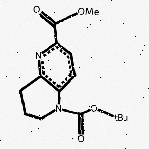 COC(=O)c1ccc2c(n1)CCCN2C(=O)OC(C)(C)C